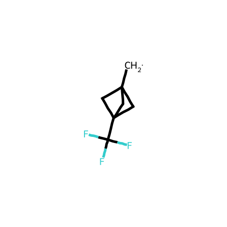 [CH2]C12CC(C(F)(F)F)(C1)C2